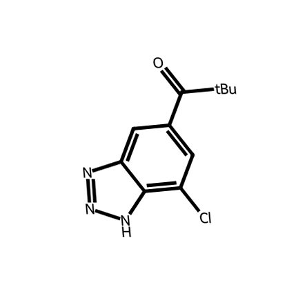 CC(C)(C)C(=O)c1cc(Cl)c2[nH]nnc2c1